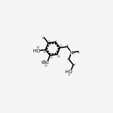 Cc1cc(CN(C)CCO)cc(C(C)(C)C)c1O